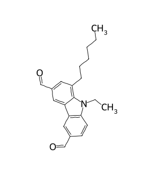 CCCCCCc1cc(C=O)cc2c3cc(C=O)ccc3n(CC)c12